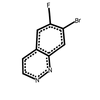 Fc1cc2ccnnc2cc1Br